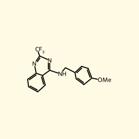 COc1ccc(CNc2nc(C(F)(F)F)nc3ccccc23)cc1